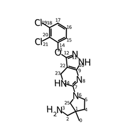 CC1(CN)CCN(C2=Nc3[nH]nc(Oc4cccc(Cl)c4Cl)c3CN2)C1